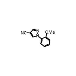 COc1ccccc1-n1cc(C#N)cn1